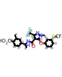 Cc1cc(C(C)NC(=O)c2c(C(F)F)nn(C)c2Oc2cccc(SC(F)(F)F)c2)ccc1C(=O)O